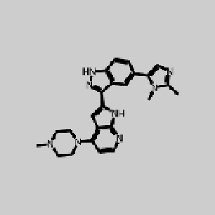 Cc1ncc(-c2ccc3[nH]nc(-c4cc5c(N6CCN(C)CC6)ccnc5[nH]4)c3c2)n1C